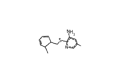 Cc1cnc(SCC2C=CC=CC2C)c(N)c1